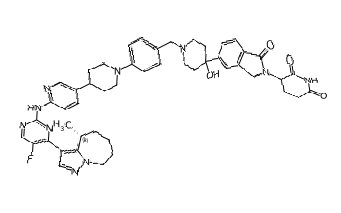 C[C@@H]1CCCCn2ncc(-c3nc(Nc4ccc(C5CCN(c6ccc(CN7CCC(O)(c8ccc9c(c8)CN(C8CCC(=O)NC8=O)C9=O)CC7)cc6)CC5)cn4)ncc3F)c21